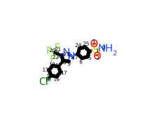 NS(=O)(=O)c1ccc(-n2cc(-c3ccc(Cl)cc3)c(C(F)(F)F)n2)cc1